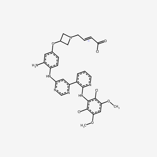 COc1cc(OC)c(Cl)c(Nc2ncccc2-c2cc(Nc3ccc(OC4CN(C/C=C/C(=O)Cl)C4)cc3N)ncn2)c1Cl